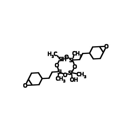 C[SiH]1O[Si](C)(CCC2CCC3OC3C2)O[Si](C)(O)O[Si](C)(CCC2CCC3OC3C2)O1